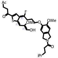 COC(=C\O)/C=c1/sc(C(=O)CCC(C)=O)c/c1=C(\F)CCCOc1cc2c(cc1OC)CN(C(=O)CCC(C)C)C2